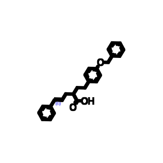 O=C(O)C(C/C=C/c1ccccc1)CCc1ccc(OCc2ccccc2)cc1